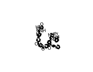 CC(C)n1cnc2cc(-c3ccc4c(c3)N([C@H]3C[C@@H](N5CCCCC5)C3)C(=O)C43CCN(C(=O)C4CCN(C(=O)C5CCN(c6ccc(C(=O)NC7CCC(=O)NC7=O)nc6)CC5)CC4)CC3)nc(Nc3ccccc3F)c21